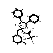 Cc1cccc(CC2(OC(=O)C(F)(F)F)NC(c3ccccc3)C(c3ccccc3)N2)c1